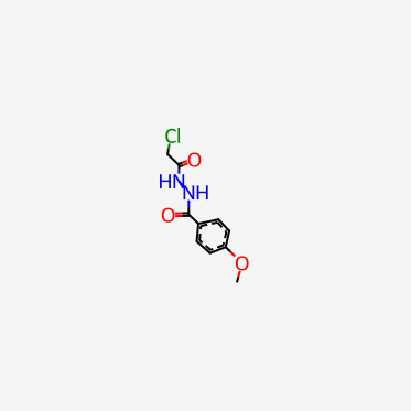 COc1ccc(C(=O)NNC(=O)CCl)cc1